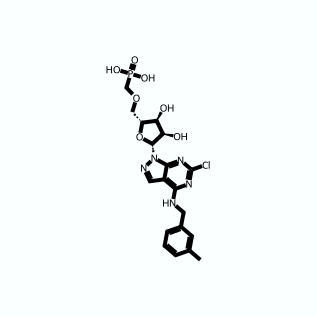 Cc1cccc(CNc2nc(Cl)nc3c2cnn3[C@@H]2O[C@H](COCP(=O)(O)O)[C@@H](O)[C@H]2O)c1